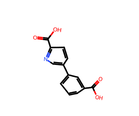 O=C(O)c1cccc(-c2ccc(C(=O)O)nc2)c1